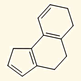 [CH]1C=CC2=C1C1=C(CCC=C1)CC2